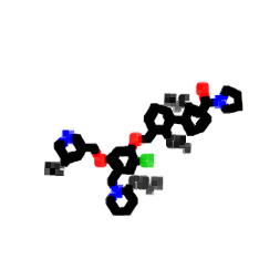 Cc1c(COc2cc(OCc3cncc(C#N)c3)c(CN3CCCCC3C(=O)O)cc2Cl)cccc1-c1cccc(C(=O)N2CCCC2)c1C